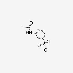 CC(=O)Nc1[c]ccc(S(=O)(=O)Cl)c1